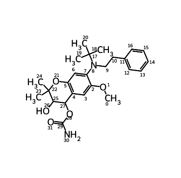 COc1cc2c(cc1N(CCc1ccccc1)C(C)(C)C)OC(C)(C)C(O)C2OC(N)=O